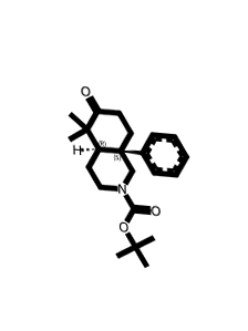 CC(C)(C)OC(=O)N1CC[C@H]2C(C)(C)C(=O)CC[C@]2(c2ccccc2)C1